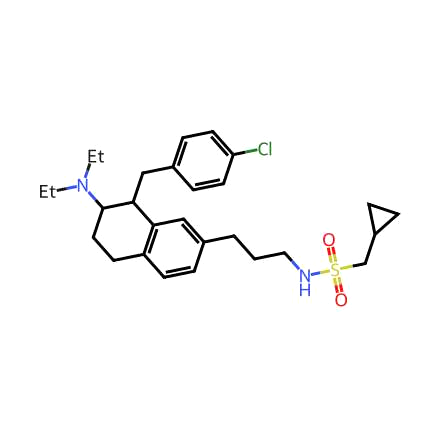 CCN(CC)C1CCc2ccc(CCCNS(=O)(=O)CC3CC3)cc2C1Cc1ccc(Cl)cc1